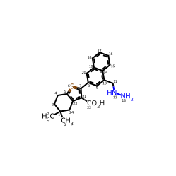 CC1(C)CCc2sc(-c3cc(CNN)c4ccccc4c3)c(C(=O)O)c2C1